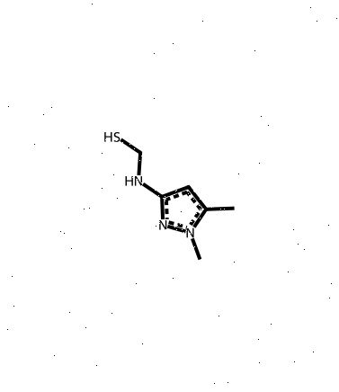 Cc1cc(NCS)nn1C